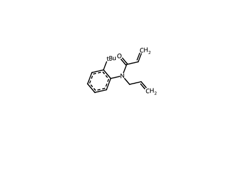 C=CCN(C(=O)C=C)c1ccccc1C(C)(C)C